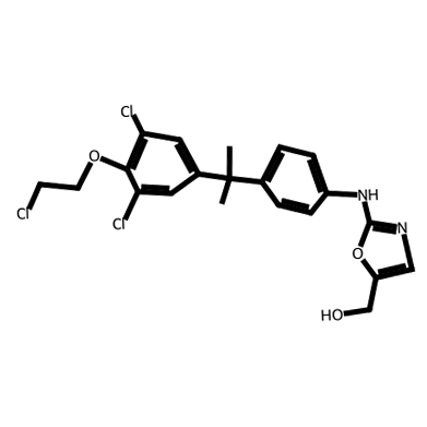 CC(C)(c1ccc(Nc2ncc(CO)o2)cc1)c1cc(Cl)c(OCCCl)c(Cl)c1